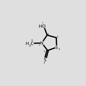 CN1C(=S)SCC1O